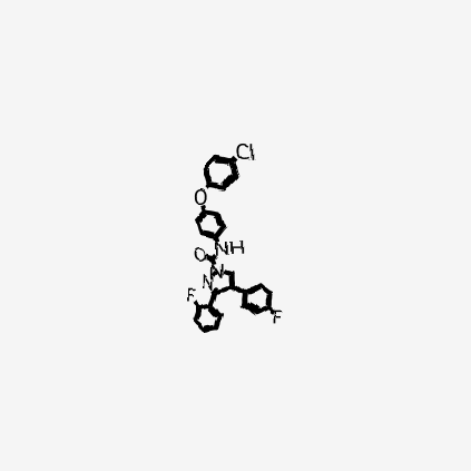 O=C(Nc1ccc(Oc2ccc(Cl)cc2)cc1)N1CC(c2ccc(F)cc2)C(c2ccccc2F)=N1